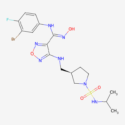 CC(C)NS(=O)(=O)N1CC[C@H](CNc2nonc2/C(=N/O)Nc2ccc(F)c(Br)c2)C1